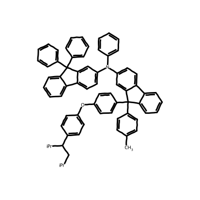 Cc1ccc(C2(c3ccc(Oc4ccc(C(CC(C)C)C(C)C)cc4)cc3)c3ccccc3-c3ccc(N(c4ccccc4)c4ccc5c(c4)C(c4ccccc4)(c4ccccc4)c4ccccc4-5)cc32)cc1